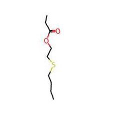 CCCCSCCOC(=O)CC